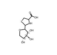 O=C(O)C1CSC(C2OC[C@@H](O)[C@H](O)[C@H]2O)N1